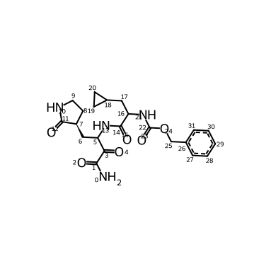 NC(=O)C(=O)C(C[C@@H]1CCNC1=O)NC(=O)C(CC1CC1)NC(=O)OCc1ccccc1